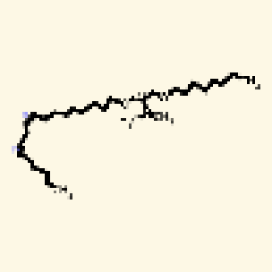 CCCCC/C=C\C/C=C\CCCCCCCCOC[C@@H](COCCCCCCCC)N(C)C